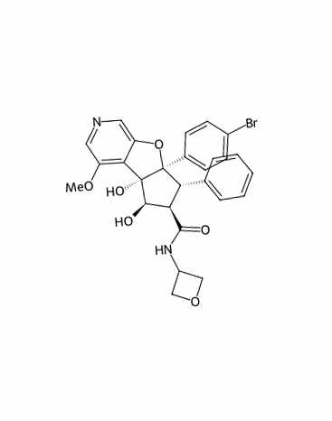 COc1cncc2c1[C@]1(O)[C@H](O)[C@H](C(=O)NC3COC3)[C@@H](c3ccccc3)[C@]1(c1ccc(Br)cc1)O2